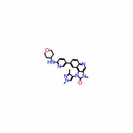 Cc1nn(C)cc1-n1c(=O)n(C)c2cnc3ccc(-c4ccc(NC5CCOCC5)nc4)cc3c21